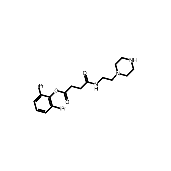 CC(C)c1cccc(C(C)C)c1OC(=O)CCC(=O)NCCN1CCNCC1